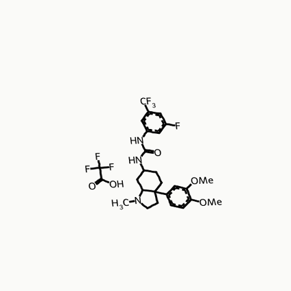 COc1ccc(C23CCC(NC(=O)Nc4cc(F)cc(C(F)(F)F)c4)CC2N(C)CC3)cc1OC.O=C(O)C(F)(F)F